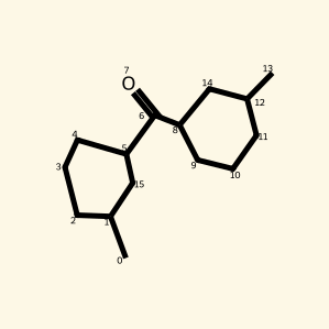 CC1CCCC(C(=O)C2CCCC(C)C2)C1